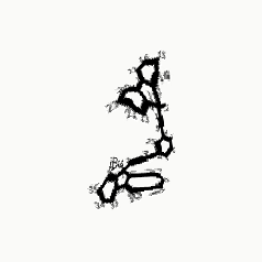 CCC(C)C1(C#Cc2cccc(C#CC3(C)c4ccccc4-c4ccccc43)c2)c2ccccc2-c2ccccc21